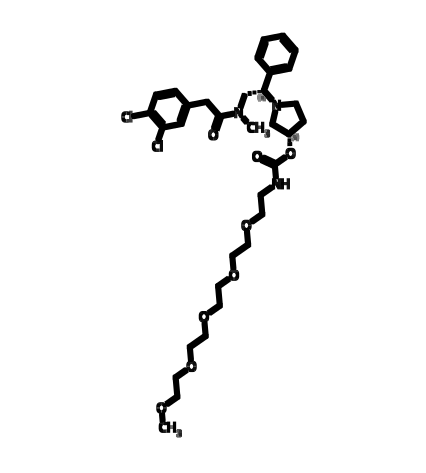 COCCOCCOCCOCCOCCNC(=O)O[C@H]1CCN([C@H](CN(C)C(=O)Cc2ccc(Cl)c(Cl)c2)c2ccccc2)C1